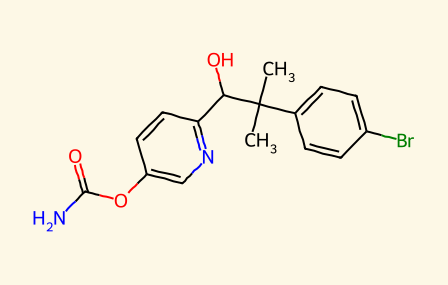 CC(C)(c1ccc(Br)cc1)C(O)c1ccc(OC(N)=O)cn1